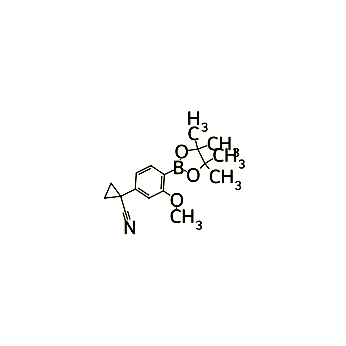 COc1cc(C2(C#N)CC2)ccc1B1OC(C)(C)C(C)(C)O1